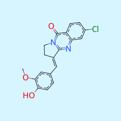 COc1cc(/C=C2\CCn3c2nc2cc(Cl)ccc2c3=O)ccc1O